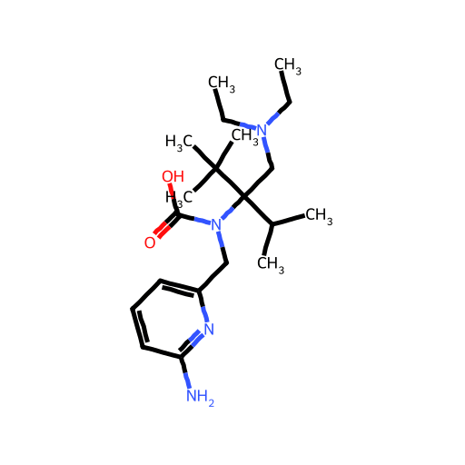 CCN(CC)CC(C(C)C)(N(Cc1cccc(N)n1)C(=O)O)C(C)(C)C